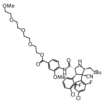 COCCOCCOCCOCCOC(=O)c1ccc(NC(=O)[C@@H]2N[C@@H](CC(C)(C)C)[C@](C#N)(c3ccc(Cl)cc3F)[C@H]2c2cccc(Cl)c2F)c(OC)c1